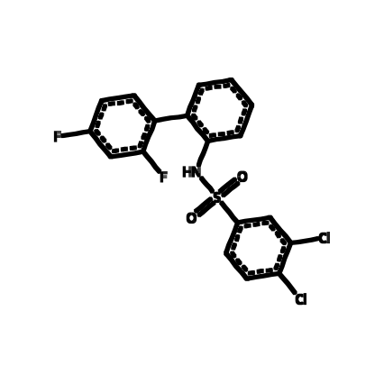 O=S(=O)(Nc1ccccc1-c1ccc(F)cc1F)c1ccc(Cl)c(Cl)c1